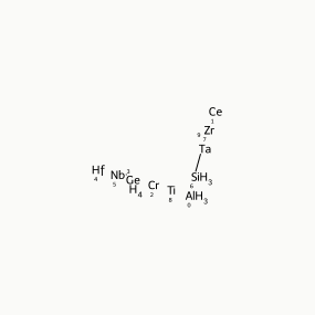 [AlH3].[Ce].[Cr].[GeH4].[Hf].[Nb].[SiH3][Ta].[Ti].[Zr]